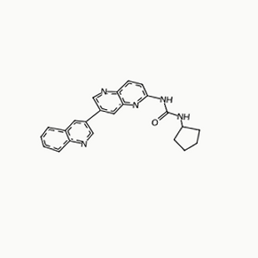 O=C(Nc1ccc2ncc(-c3cnc4ccccc4c3)cc2n1)NC1CCCC1